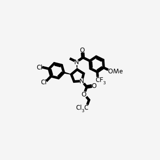 COc1ccc(C(=O)N(C)[C@@H]2CN(C(=O)OCC(Cl)(Cl)Cl)C[C@H]2c2ccc(Cl)c(Cl)c2)cc1C(F)(F)F